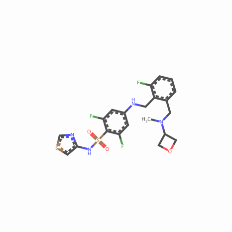 CN(Cc1cccc(F)c1CNc1cc(F)c(S(=O)(=O)Nc2cscn2)c(F)c1)C1COC1